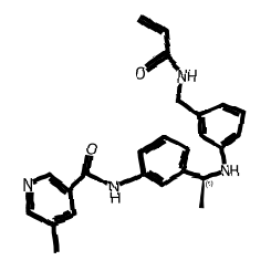 C=CC(=O)NCc1cccc(N[C@@H](C)c2cccc(NC(=O)c3cncc(C)c3)c2)c1